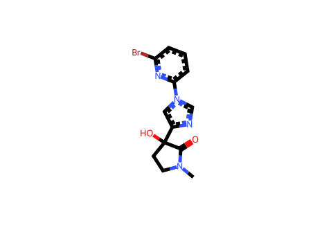 CN1CCC(O)(c2cn(-c3cccc(Br)n3)cn2)C1=O